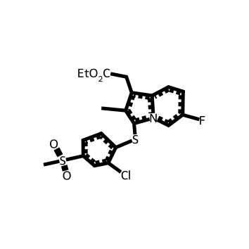 CCOC(=O)Cc1c(C)c(Sc2ccc(S(C)(=O)=O)cc2Cl)n2cc(F)ccc12